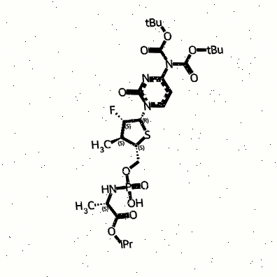 CC(C)OC(=O)[C@H](C)NP(=O)(O)OC[C@H]1S[C@@H](n2ccc(N(C(=O)OC(C)(C)C)C(=O)OC(C)(C)C)nc2=O)[C@@H](F)[C@@H]1C